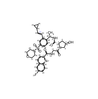 C[C@@H](NC(=O)[C@@H]1C[C@@H](O)CN1C(=O)CNC(=O)c1ccc2cc(F)ccc2n1)c1ccc(S(=O)(=O)N2CCOCC2)cc1/C=C/C1CC1